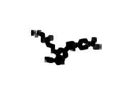 CCOC(=O)CCSc1cc(-c2ccn(C3CCN(C(=O)O)CC3)n2)cn2ncc(C#N)c12